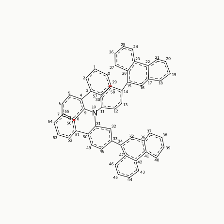 c1ccc(-c2ccccc2N(c2ccc(-c3cc4ccccc4c4ccccc34)cc2)c2cc(-c3cc4ccccc4c4ccccc34)ccc2-c2ccccc2)cc1